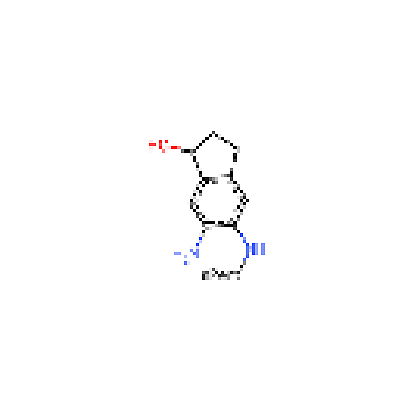 CCCCCNc1cc2c(cc1N)C(O)CC2